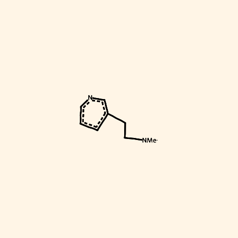 C[N]CCc1cccnc1